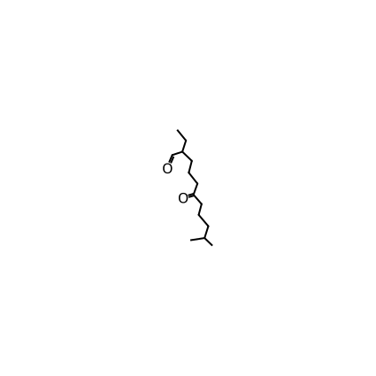 CCC(C=O)CCCC(=O)CCCC(C)C